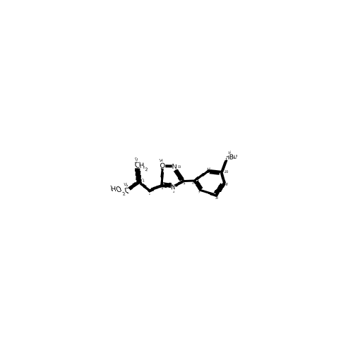 C=C(Cc1nc(-c2cccc(CCCC)c2)no1)C(=O)O